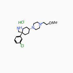 COCCN1CCN([C@H]2CC[C@@](CN)(c3cccc(Cl)c3)CC2)CC1.Cl